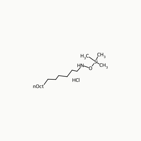 CCCCCCCCCCCCCCNO[Si](C)(C)C.Cl